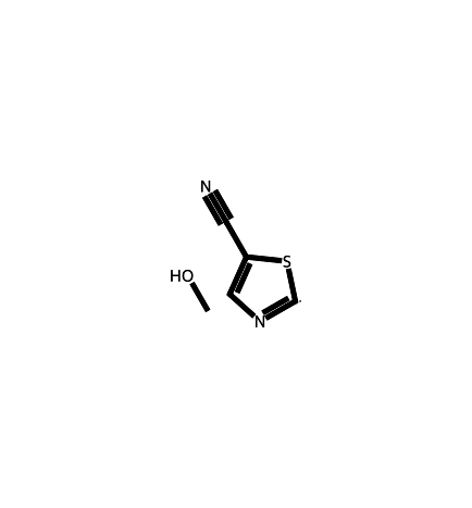 CO.N#Cc1cn[c]s1